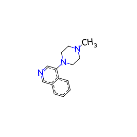 CN1CCN(c2cncc3ccccc23)CC1